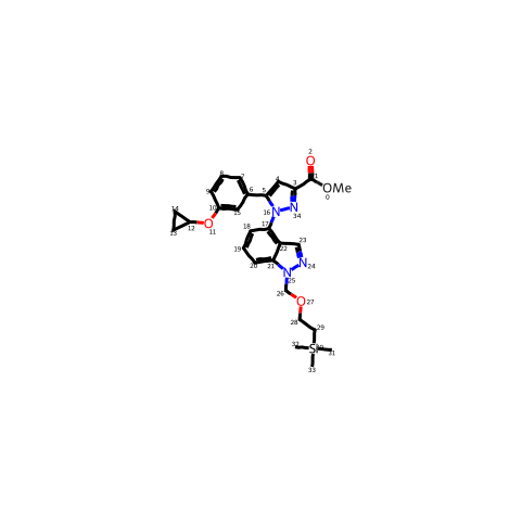 COC(=O)c1cc(-c2cccc(OC3CC3)c2)n(-c2cccc3c2cnn3COCC[Si](C)(C)C)n1